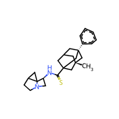 C[C@]12CC3CC(C(=S)N[C@H]4CN5CCC6CC645)(C1)C[C@@](c1ccccc1)(C3)C2